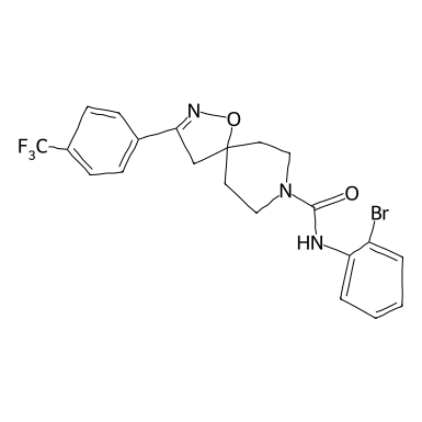 O=C(Nc1ccccc1Br)N1CCC2(CC1)CC(c1ccc(C(F)(F)F)cc1)=NO2